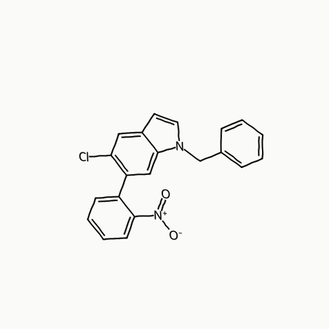 O=[N+]([O-])c1ccccc1-c1cc2c(ccn2Cc2ccccc2)cc1Cl